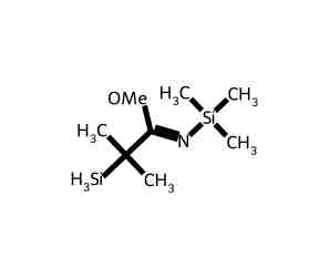 COC(=N[Si](C)(C)C)C(C)(C)[SiH3]